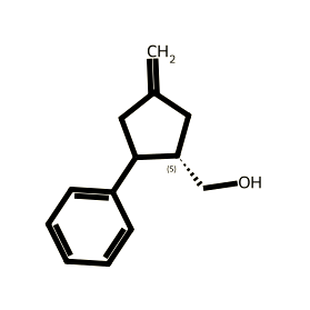 C=C1CC(c2ccccc2)[C@@H](CO)C1